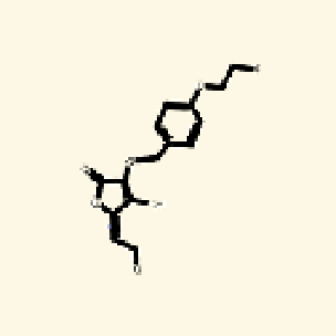 O=C1O/C(=C/CCl)C(O)=C1OCc1ccc(OCCF)cc1